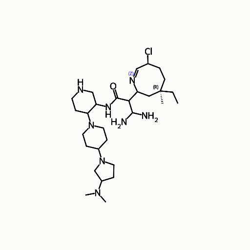 CC[C@]1(C)CCC(Cl)/C=N\C(C(C(=O)NC2CNCCC2N2CCC(N3CCC(N(C)C)C3)CC2)C(N)N)C1